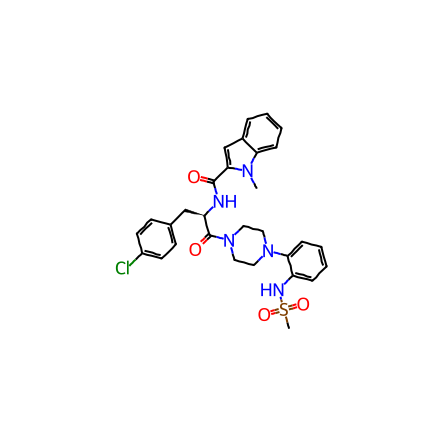 Cn1c(C(=O)N[C@H](Cc2ccc(Cl)cc2)C(=O)N2CCN(c3ccccc3NS(C)(=O)=O)CC2)cc2ccccc21